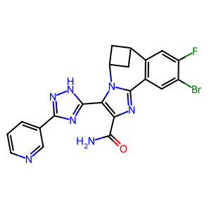 NC(=O)c1nc2n(c1-c1nc(-c3cccnc3)n[nH]1)C1CC(C1)c1cc(F)c(Br)cc1-2